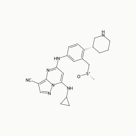 C[S@+]([O-])Cc1cc(Nc2cc(NC3CC3)n3ncc(C#N)c3n2)ccc1[C@H]1CCCNC1